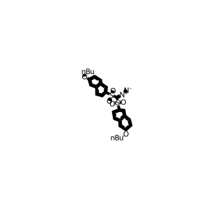 CCCCOc1ccc2cc(S(=O)(=O)C(=[N+]=[N-])S(=O)(=O)c3ccc4cc(OCCCC)ccc4c3)ccc2c1